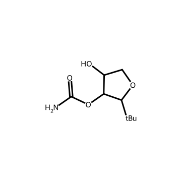 CC(C)(C)C1OCC(O)C1OC(N)=O